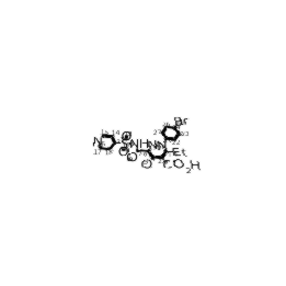 CCc1c(C(=O)O)c(=O)c(C(=O)NS(=O)(=O)c2ccncc2)nn1-c1ccc(Br)cc1